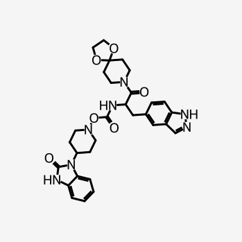 O=C(NC(Cc1ccc2[nH]ncc2c1)C(=O)N1CCC2(CC1)OCCO2)ON1CCC(n2c(=O)[nH]c3ccccc32)CC1